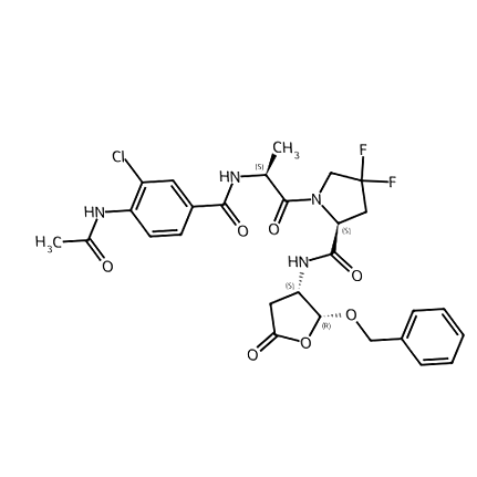 CC(=O)Nc1ccc(C(=O)N[C@@H](C)C(=O)N2CC(F)(F)C[C@H]2C(=O)N[C@H]2CC(=O)O[C@H]2OCc2ccccc2)cc1Cl